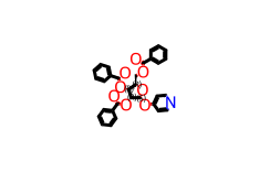 O=C(OC[C@H]1O[C@@H](Oc2ccncc2)[C@H](OC(=O)c2ccccc2)[C@@H]1OC(=O)c1ccccc1)c1ccccc1